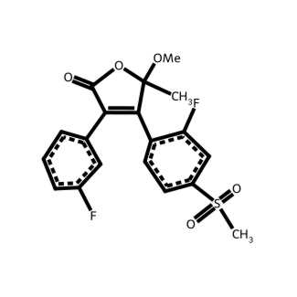 COC1(C)OC(=O)C(c2cccc(F)c2)=C1c1ccc(S(C)(=O)=O)cc1F